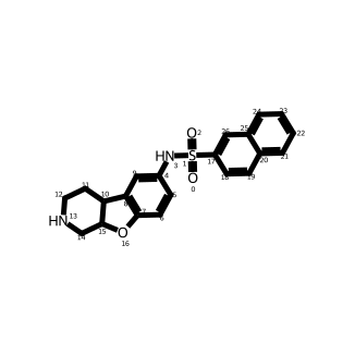 O=S(=O)(Nc1ccc2c(c1)C1CCNCC1O2)c1ccc2ccccc2c1